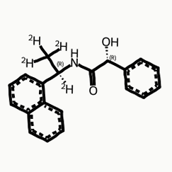 [2H]C([2H])([2H])[C@@]([2H])(NC(=O)[C@H](O)c1ccccc1)c1cccc2ccccc12